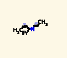 C\C=C/C(=N\C=C\C)C(C)C